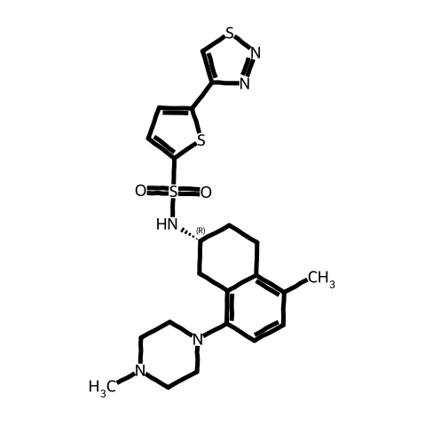 Cc1ccc(N2CCN(C)CC2)c2c1CC[C@@H](NS(=O)(=O)c1ccc(-c3csnn3)s1)C2